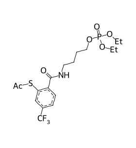 CCOP(=O)(OCC)OCCCCNC(=O)c1ccc(C(F)(F)F)cc1SC(C)=O